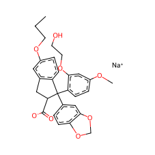 CCCOc1ccc2c(c1)CC(C(=O)[O-])C2(c1ccc2c(c1)OCO2)c1ccc(OC)cc1OCCO.[Na+]